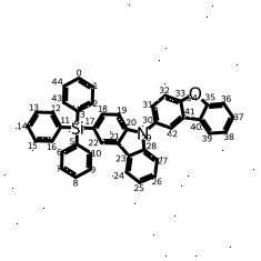 c1ccc([Si](c2ccccc2)(c2ccccc2)c2ccc3c(c2)c2ccccc2n3-c2ccc3oc4ccccc4c3c2)cc1